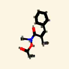 CCN(OC(=O)NC)C(=O)C([C]=O)=Cc1ccccc1